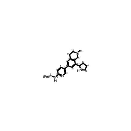 CCCC(C)Nc1ccc(-c2cc3c(c(C4CCCN4)c2)CN(C)CC3)cn1